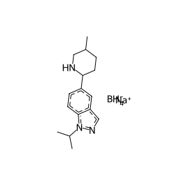 CC1CCC(c2ccc3c(cnn3C(C)C)c2)NC1.[BH4-].[Na+]